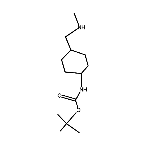 CNCC1CCC(NC(=O)OC(C)(C)C)CC1